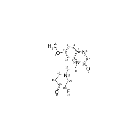 COc1ccc2ncc(=O)n(CCN3CCC(=O)C(F)C3)c2c1